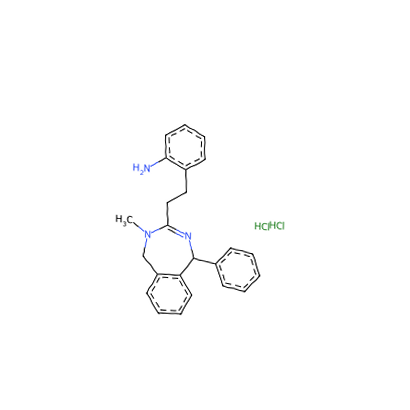 CN1Cc2ccccc2C(c2ccccc2)N=C1CCc1ccccc1N.Cl.Cl